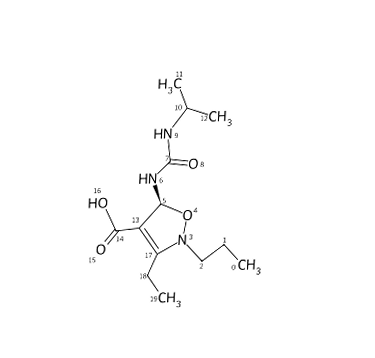 CCCN1O[C@H](NC(=O)NC(C)C)C(C(=O)O)=C1CC